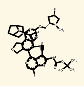 CN1C[C@H](F)C[C@H]1COc1nc(N2C3CCC2CN(C(=O)O)C3)c2c3c(c(-c4ncc(F)c5sc(NC(=O)OC(C)(C)C)c(C#N)c45)c(F)c2n1)COC3